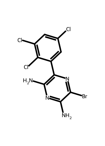 Nc1nc(N)c(-c2cc(Cl)cc(Cl)c2Cl)nc1Br